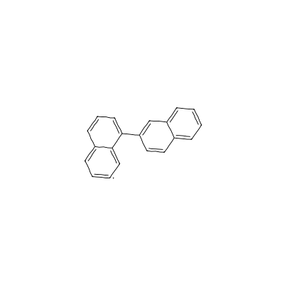 [c]1ccc2cccc(-c3ccc4ccccc4c3)c2c1